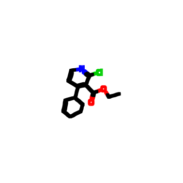 CCOC(=O)c1c(C2C=CCCC2)ccnc1Cl